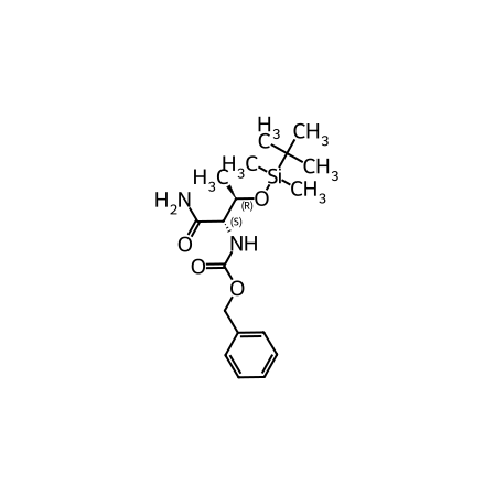 C[C@@H](O[Si](C)(C)C(C)(C)C)[C@H](NC(=O)OCc1ccccc1)C(N)=O